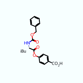 CC[C@H](C)[C@H](NC(=O)OCc1ccccc1)C(=O)Oc1ccc(C(=O)O)cc1